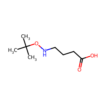 CC(C)(C)ONCCCC(=O)O